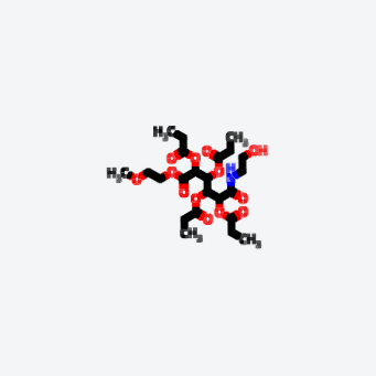 CCC(=O)OC(C(=O)NCCO)C(OC(=O)CC)C(OC(=O)CC)C(OC(=O)CC)C(=O)OCCOC